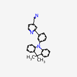 CC1(C)c2ccccc2N(c2cccc(-c3cc(C#N)ccn3)c2)c2ccccc21